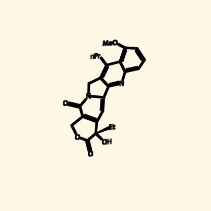 CCCc1c2c(nc3cccc(OC)c13)-c1cc3c(c(=O)n1C2)COC(=O)[C@]3(O)CC